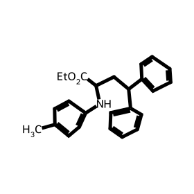 CCOC(=O)C(CC(c1ccccc1)c1ccccc1)Nc1ccc(C)cc1